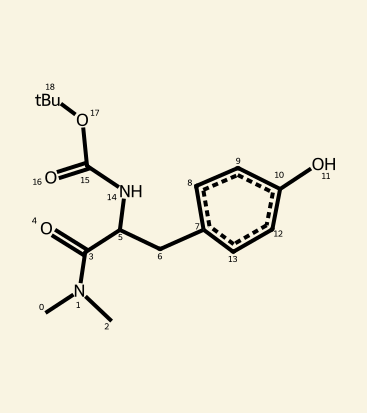 CN(C)C(=O)C(Cc1ccc(O)cc1)NC(=O)OC(C)(C)C